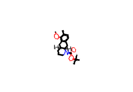 COc1c(C)ccc2c1C[C@@H]1CCCN(C(=O)OC(C)(C)C)[C@H]1C2